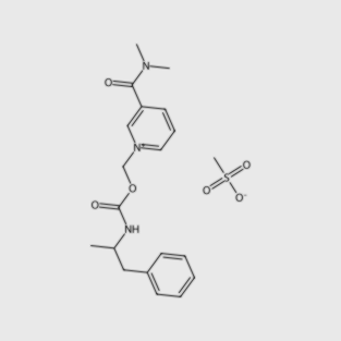 CC(Cc1ccccc1)NC(=O)OC[n+]1cccc(C(=O)N(C)C)c1.CS(=O)(=O)[O-]